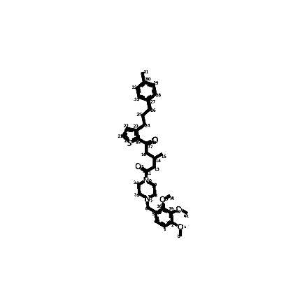 COc1ccc(CN2CCN(C(=O)CC(C)CC(=O)c3sccc3CCCc3ccc(C)cc3)CC2)c(OC)c1OC